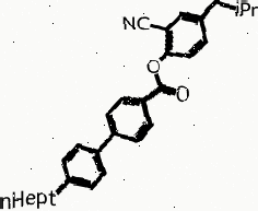 CCCCCCCc1ccc(-c2ccc(C(=O)Oc3ccc(CC(C)C)cc3C#N)cc2)cc1